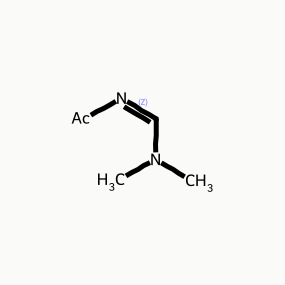 CC(=O)/N=C\N(C)C